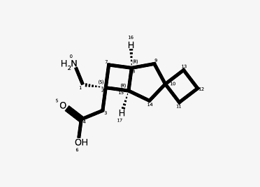 NC[C@]1(CC(=O)O)C[C@H]2CC3(CCC3)C[C@H]21